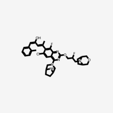 C/C(=C\C(O)=C/c1ccccc1C)c1c(Cl)cc2c(N3CC4CCC(C3)N4)nc(OCC(F)CN3C4CCC3COC4)nc2c1F